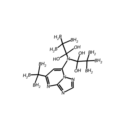 BC(B)(B)c1cc(N(C(O)(O)C(B)(B)B)C(O)(O)C(B)(B)B)n2ncnc2n1